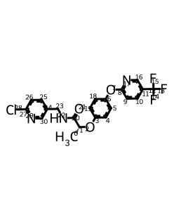 C[C@@H](Oc1ccc(Oc2ccc(C(F)(F)F)cn2)cc1)C(=O)NCc1ccc(Cl)nc1